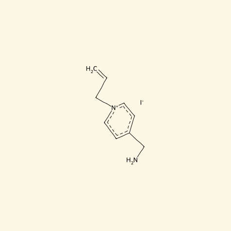 C=CC[n+]1ccc(CN)cc1.[I-]